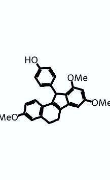 COc1ccc2c(c1)CCC1=C2C(c2ccc(O)cc2)c2c(OC)cc(OC)cc21